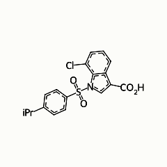 CC(C)c1ccc(S(=O)(=O)n2cc(C(=O)O)c3cccc(Cl)c32)cc1